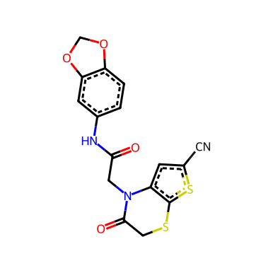 N#Cc1cc2c(s1)SCC(=O)N2CC(=O)Nc1ccc2c(c1)OCO2